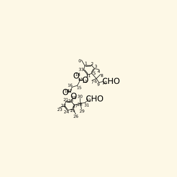 Cc1cc(C)c(C(C)(C)CC=O)c(OC(=O)CCC(=O)Oc2cc(C)cc(C)c2C(C)(C)CC=O)c1